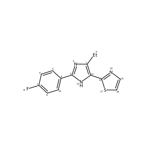 CCc1nc(-c2ccc(F)cc2)[nH]c1-c1nccs1